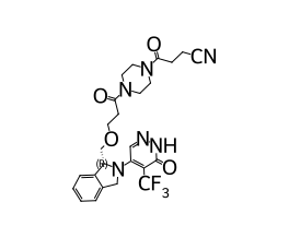 N#CCCC(=O)N1CCN(C(=O)CCOC[C@H]2c3ccccc3CN2c2cn[nH]c(=O)c2C(F)(F)F)CC1